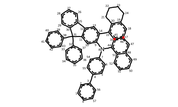 c1ccc(-c2ccc(N(c3cc4c(cc3-c3cccc5c3CCCC5)-c3ccccc3C4(c3ccccc3)c3ccccc3)c3cccc4ccccc34)cc2)cc1